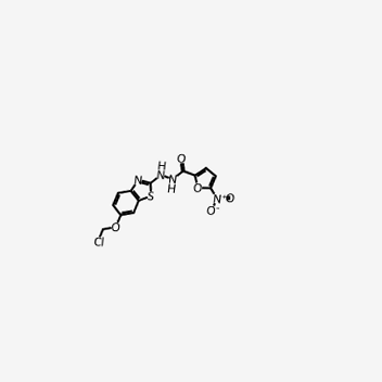 O=C(NNc1nc2ccc(OCCl)cc2s1)c1ccc([N+](=O)[O-])o1